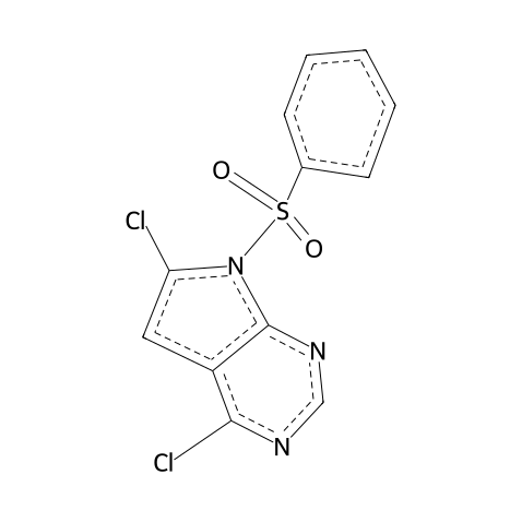 O=S(=O)(c1ccccc1)n1c(Cl)cc2c(Cl)ncnc21